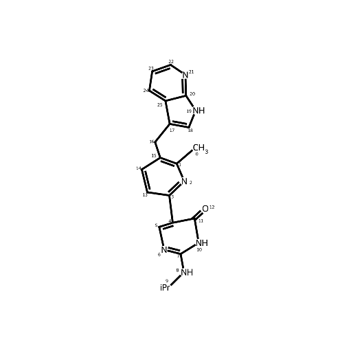 Cc1nc(-c2cnc(NC(C)C)[nH]c2=O)ccc1Cc1c[nH]c2ncccc12